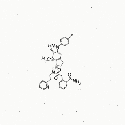 C[C@H]1C2=CNN(c3ccc(F)cc3)C2=CC2=C1[C@@H](CN(CCc1ccccn1)S(=O)(=O)Cc1ccccc1C(N)=O)CC2